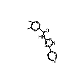 Cc1ccc(C(=O)Nc2nnc(-c3ccncc3)s2)cc1C